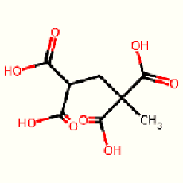 CC(CC(C(=O)O)C(=O)O)(C(=O)O)C(=O)O